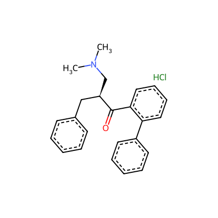 CN(C)C[C@H](Cc1ccccc1)C(=O)c1ccccc1-c1ccccc1.Cl